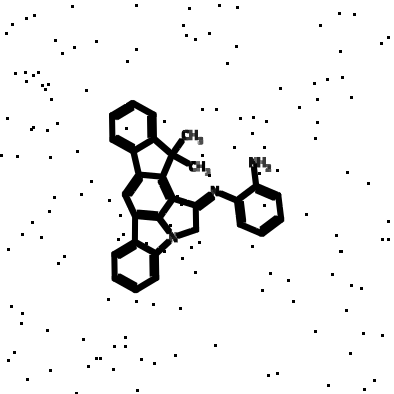 CC1(C)c2ccccc2-c2cc3c4ccccc4n4c3c(c21)/C(=N/c1ccccc1N)C4